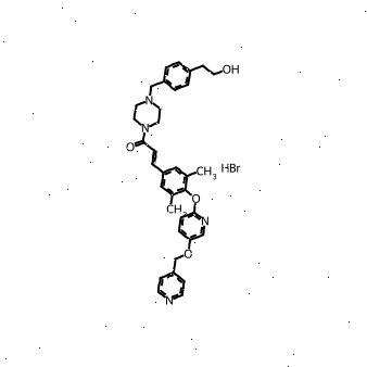 Br.Cc1cc(C=CC(=O)N2CCN(Cc3ccc(CCO)cc3)CC2)cc(C)c1Oc1ccc(OCc2ccncc2)cn1